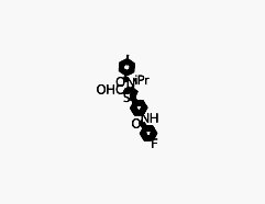 CC(C)N(c1cc(-c2ccc(NC(=O)c3ccc(F)cc3)cc2)sc1C=O)C(=O)[C@H]1CC[C@H](C)CC1